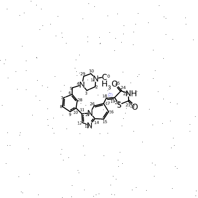 CN1CCN(Cc2cccc(-c3cnc4ccc(/C=C5\SC(=O)NC5=O)cn34)c2)CC1